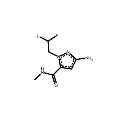 CNC(=O)c1cc(N)nn1CC(F)F